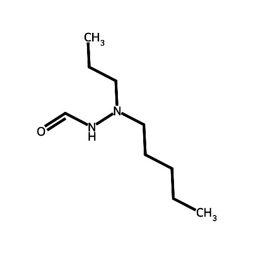 CCCCCN(CCC)NC=O